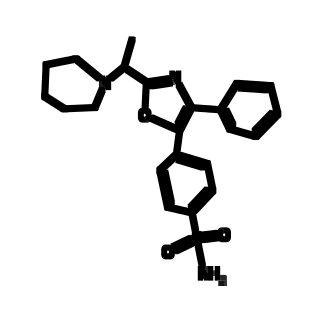 CC(c1nc(-c2ccccc2)c(-c2ccc(S(N)(=O)=O)cc2)o1)N1CCCCC1